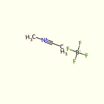 CC#[N+]C.F[B-](F)(F)F